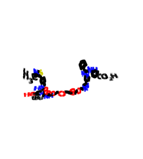 Cc1ncsc1-c1ccc(CNC(=O)[C@@H]2C[C@@H](O)CN2C(=O)C(NC(=O)COCCOCCOCCOCCn2cc(-c3ccn4c(Nc5ccc(C(=O)O)cc5)c(-c5ccccc5)nc4c3)nn2)C(C)(C)C)cc1